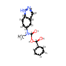 CN(C(=O)OC(=O)c1ccccc1)c1ccc2[nH]ncc2c1